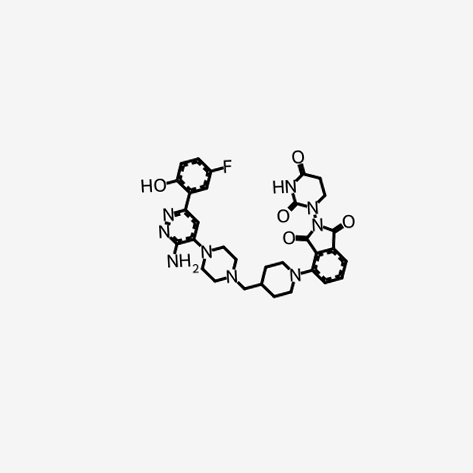 Nc1nnc(-c2cc(F)ccc2O)cc1N1CCN(CC2CCN(c3cccc4c3C(=O)N(N3CCC(=O)NC3=O)C4=O)CC2)CC1